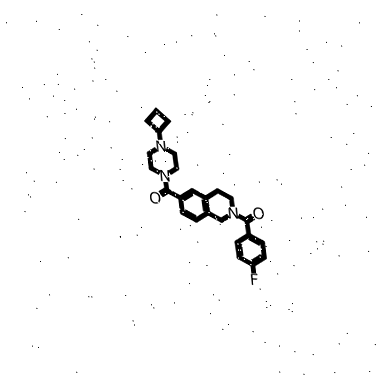 O=C(c1ccc2c(c1)CCN(C(=O)c1ccc(F)cc1)C2)N1CCN(C2CCC2)CC1